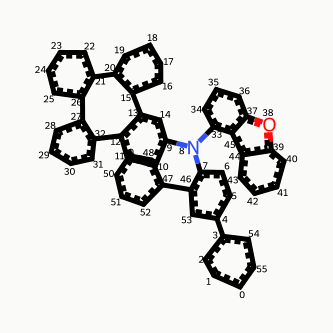 c1ccc(-c2ccc(N(c3ccc4c(c3)-c3ccccc3-c3ccccc3-c3ccccc3-4)c3cccc4oc5ccccc5c34)c(-c3ccccc3)c2)cc1